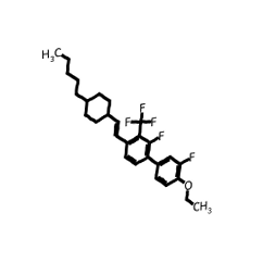 CCCCCC1CCC(/C=C/c2ccc(-c3ccc(OCC)c(F)c3)c(F)c2C(F)(F)F)CC1